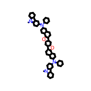 Cn1c2ccccc2c2cc(N(c3ccccc3)c3ccc4c(ccc5c6cc7oc8c9ccc(N(c%10ccccc%10)c%10ccc%11c(c%10)c%10ccccc%10n%11C)cc9ccc8c7cc6oc45)c3)ccc21